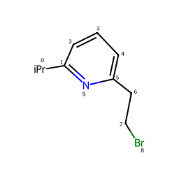 CC(C)c1cccc(CCBr)n1